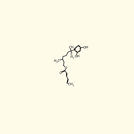 CC=CC=CC(=O)OCCC(C)CCCC(C)(C)c1ccc(O)cc1O